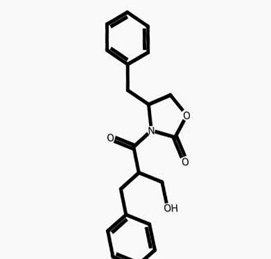 O=C1OCC(Cc2ccccc2)N1C(=O)C(CO)Cc1ccccc1